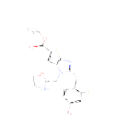 COC(=O)c1cc2c(nc(Cc3ccc(Br)cc3F)n2CC2NCCO2)s1